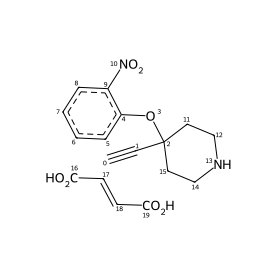 C#CC1(Oc2ccccc2[N+](=O)[O-])CCNCC1.O=C(O)C=CC(=O)O